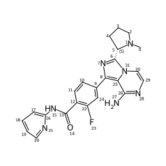 CN1CCC[C@H]1c1nc(-c2ccc(C(=O)Nc3ccccn3)c(F)c2)c2c(N)nccn12